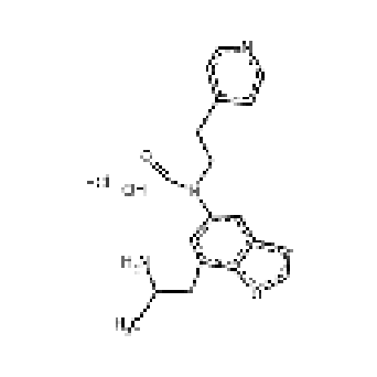 CC(N)Cc1cc(N(C=O)CCc2ccncc2)cc2ccoc12.Cl.Cl